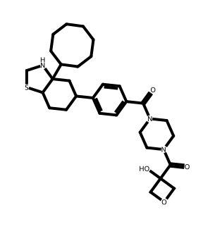 O=C(c1ccc(C2CCC3SCNC3(C3CCCCCCC3)C2)cc1)N1CCN(C(=O)C2(O)COC2)CC1